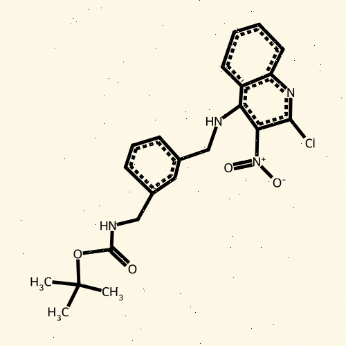 CC(C)(C)OC(=O)NCc1cccc(CNc2c([N+](=O)[O-])c(Cl)nc3ccccc23)c1